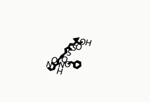 O=C(Nc1c(C#Cc2cc3cc(C4(C(=O)O)CC4)sc3s2)oc2ncccc12)OCc1ccccc1